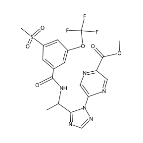 COC(=O)c1cnc(-n2ncnc2C(C)NC(=O)c2cc(OC(F)(F)F)cc(S(C)(=O)=O)c2)cn1